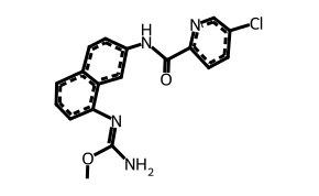 CO/C(N)=N\c1cccc2ccc(NC(=O)c3ccc(Cl)cn3)cc12